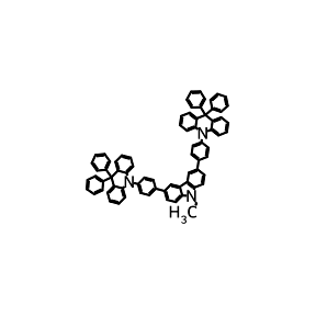 CCn1c2ccc(-c3ccc(N4c5ccccc5C(c5ccccc5)(c5ccccc5)c5ccccc54)cc3)cc2c2cc(-c3ccc(N4c5ccccc5C(c5ccccc5)(c5ccccc5)c5ccccc54)cc3)ccc21